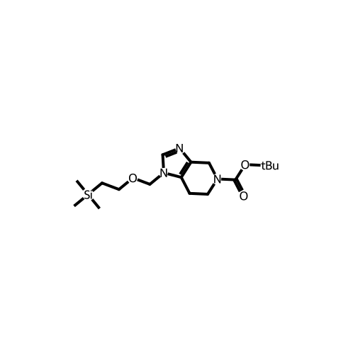 CC(C)(C)OC(=O)N1CCc2c(ncn2COCC[Si](C)(C)C)C1